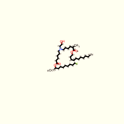 CCCCCCCCC(CCCCCCCCF)OC(=O)CCCCCN(CCO)CCCCC(C)C(=O)OCCCCCCCCCCC(C)C